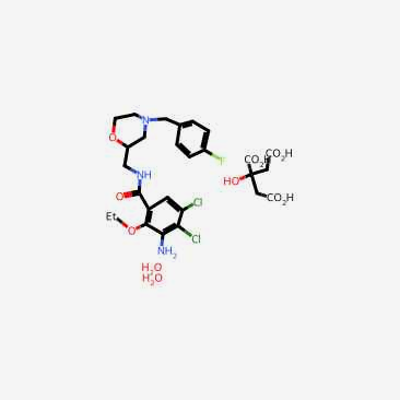 CCOc1c(C(=O)NCC2CN(Cc3ccc(F)cc3)CCO2)cc(Cl)c(Cl)c1N.O.O.O=C(O)CC(O)(CC(=O)O)C(=O)O